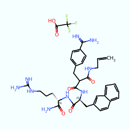 C=CCNC(=O)C(Cc1ccc(C(=N)N)cc1)C(=O)N[C@@H](Cc1ccc2ccccc2c1)C(=O)N[C@@H](CCCNC(=N)N)C(N)=O.O=C(O)C(F)(F)F